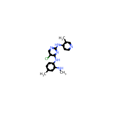 CNc1cc(C)ccc1Nc1nc(Nc2ccncc2C)ncc1Cl